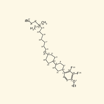 CCOc1ccc(C2CCC(C3CCC(OCCCCCCC[Si](C)(C)CCC(C)CC)CC3)CC2)c(F)c1F